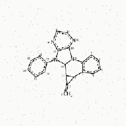 C=C1C2c3ccccc3N3c4nccnc4N(c4ccccc4)C3C12